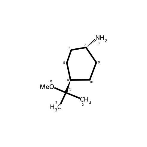 COC(C)(C)[C@H]1CC[C@H](N)CC1